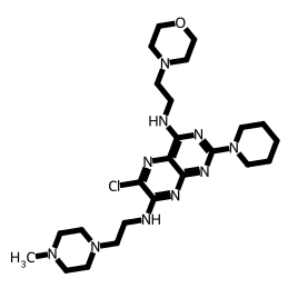 CN1CCN(CCNc2nc3nc(N4CCCCC4)nc(NCCN4CCOCC4)c3nc2Cl)CC1